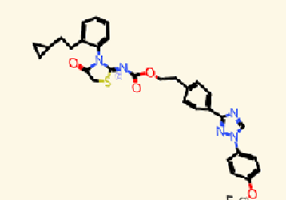 O=C(/N=C1\SCC(=O)N1c1ccccc1CCC1CC1)OCCc1ccc(-c2ncn(-c3ccc(OC(F)(F)F)cc3)n2)cc1